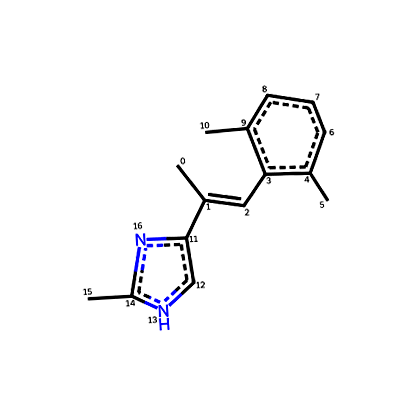 C/C(=C\c1c(C)cccc1C)c1c[nH]c(C)n1